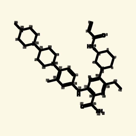 C=CC(=O)N[C@H]1CCCN(c2nc(Nc3ccc(N4CCC(N5CCN(C)CC5)CC4)c(C)c3)c(C(N)=O)nc2CC)C1